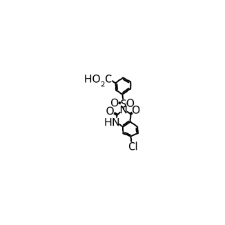 O=C(O)c1cccc(S(=O)(=O)n2c(=O)[nH]c3cc(Cl)ccc3c2=O)c1